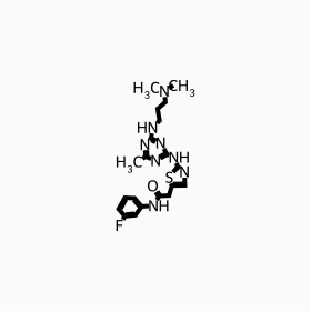 Cc1nc(NCCCN(C)C)nc(Nc2ncc(CC(=O)Nc3cccc(F)c3)s2)n1